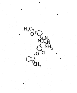 C=CC(=O)N1CCCC(n2nc(-c3ccc(OCc4cn(C)c5ccccc45)c(Cl)c3)c3c(N)ncnc32)C1